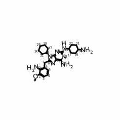 COc1cccc(Cc2nc3c(N)nc(NC4CCC(N)CC4)nc3n2C2CCCCC2)c1N